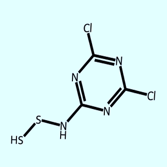 SSNc1nc(Cl)nc(Cl)n1